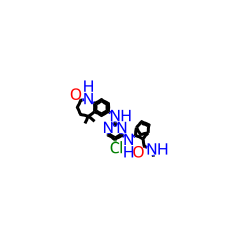 CNC(=O)C1C2C=CC(C2)C1Nc1nc(Nc2ccc3c(c2)C(C)(C)CCC(=O)N3)ncc1Cl